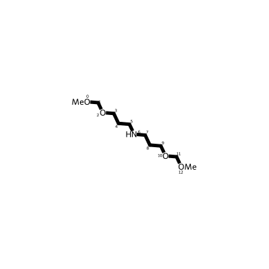 COCOCCCNCCCOCOC